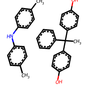 CC(c1ccccc1)(c1ccc(O)cc1)c1ccc(O)cc1.Cc1ccc(Nc2ccc(C)cc2)cc1